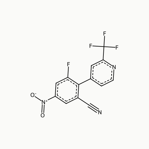 N#Cc1cc([N+](=O)[O-])cc(F)c1-c1ccnc(C(F)(F)F)c1